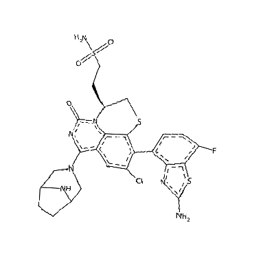 Nc1nc2c(-c3c(Cl)cc4c(N5CC6CCC(C5)N6)nc(=O)n5c4c3SC[C@@H]5CCS(N)(=O)=O)ccc(F)c2s1